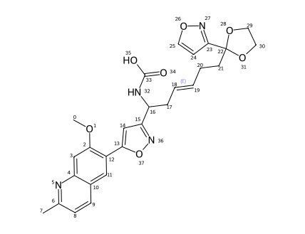 COc1cc2nc(C)ccc2cc1-c1cc(C(C/C=C/CCC2(c3ccon3)OCCO2)NC(=O)O)no1